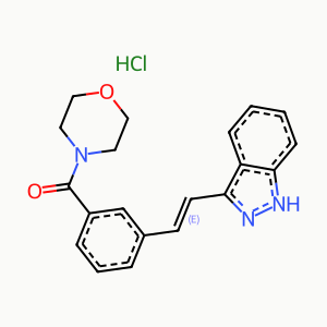 Cl.O=C(c1cccc(/C=C/c2n[nH]c3ccccc23)c1)N1CCOCC1